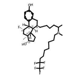 CC(CCCC[C@@H]1Cc2cc(O)ccc2[C@@H]2[C@@H]1[C@@H]1CC[C@H](O)[C@@]1(C)C[C@@H]2F)N(C)CCCCCCCC(F)(F)C(F)(F)F